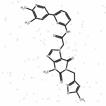 Cc1cc(Cn2c(=O)c3c(ncn3CC(=O)Nc3cccc(-c4cnc(C)c(C)c4)n3)n(C)c2=O)no1